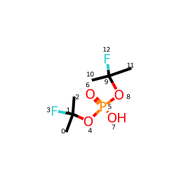 CC(C)(F)OP(=O)(O)OC(C)(C)F